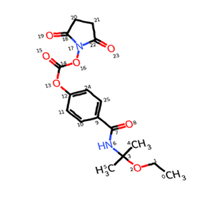 CCOC(C)(C)NC(=O)c1ccc(OC(=O)ON2C(=O)CCC2=O)cc1